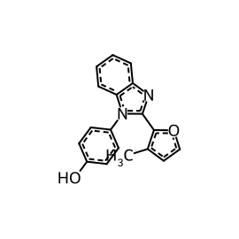 Cc1ccoc1-c1nc2ccccc2n1-c1ccc(O)cc1